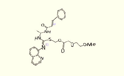 COCCOCC(=O)OCS/C(=N/c1cccc2cccnc12)NC(C)NC(=O)/C=C/c1ccccc1